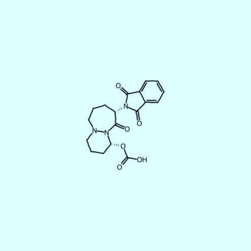 O=C(O)O[C@@H]1CCCN2CCC[C@H](N3C(=O)c4ccccc4C3=O)C(=O)N12